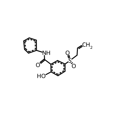 C=CCS(=O)(=O)c1ccc(O)c(C(=O)Nc2ccccc2)c1